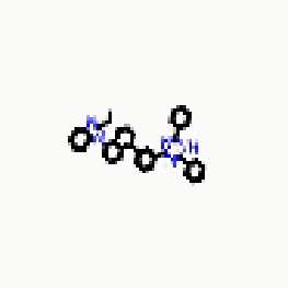 CCc1nc2ccccc2n1-c1cccc2c(-c3cccc(C4=NC(c5ccccc5)NC(c5ccccc5)=N4)c3)cccc12